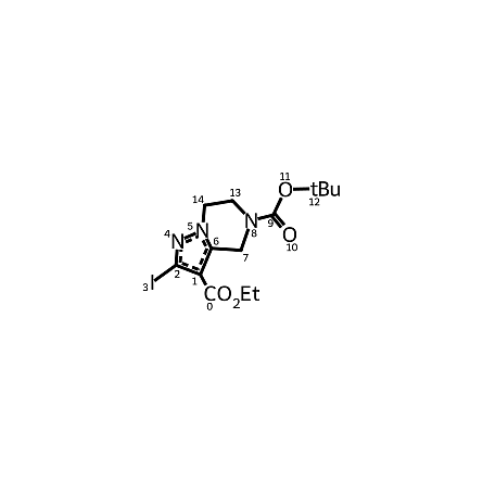 CCOC(=O)c1c(I)nn2c1CN(C(=O)OC(C)(C)C)CC2